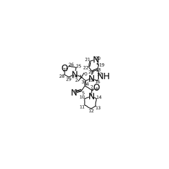 CC(C)(C(=C(C#N)C(=O)N1CCCCC1)N1CNc2cnccc21)N1CCOCC1